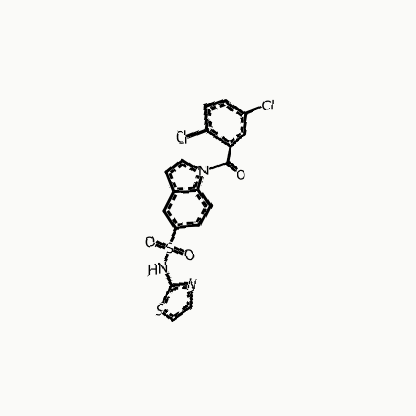 O=C(c1cc(Cl)ccc1Cl)n1ccc2cc(S(=O)(=O)Nc3nccs3)ccc21